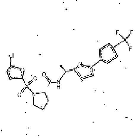 C[C@H](NC(=O)[C@@H]1CCCN1S(=O)(=O)c1ccc(Cl)s1)c1nc(-c2ccc(C(F)(F)F)cc2)cs1